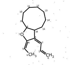 C=C/C=C1\C(=C/C)OC2CCCCCCCC12